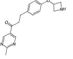 Cc1ncc(C(=O)CCc2ccc(OC3CNC3)cc2)cn1